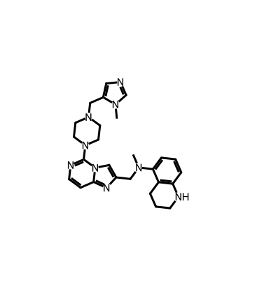 CN(Cc1cn2c(N3CCN(Cc4cncn4C)CC3)nccc2n1)c1cccc2c1CCCN2